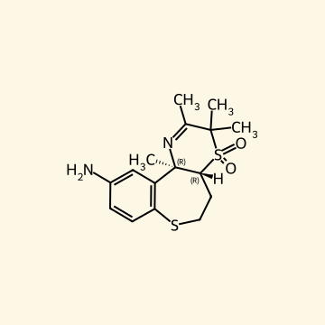 CC1=N[C@]2(C)c3cc(N)ccc3SCC[C@H]2S(=O)(=O)C1(C)C